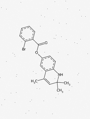 CC1=CC(C)(C)Nc2ccc(OC(=O)c3ccccc3Br)cc21